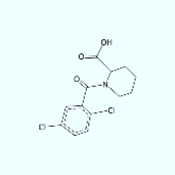 O=C(O)C1CCCCN1C(=O)c1cc(Cl)ccc1Cl